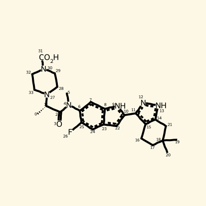 C[C@@H](C(=O)N(C)c1cc2[nH]c(-c3n[nH]c4c3CCC(C)(C)C4)cc2cc1F)N1CCN(C(=O)O)CC1